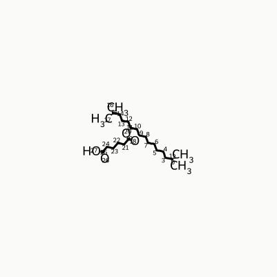 CC(C)CCCCCCC(CCCCCC(C)C)OC(=O)CCCCC(=O)O